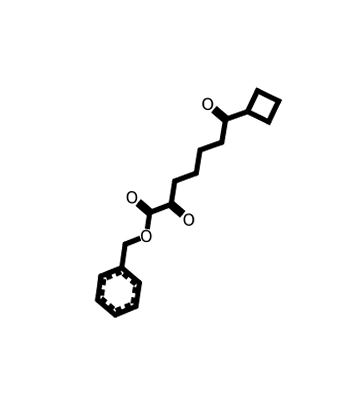 O=C(CCCCC(=O)C1CCC1)C(=O)OCc1ccccc1